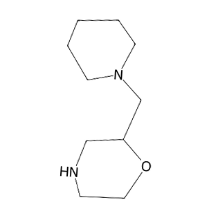 C1CCN(CC2CNCCO2)CC1